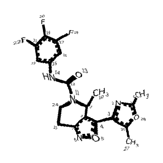 Cc1nc(-c2onc3c2C(C)N(C(=O)Nc2cc(F)c(F)c(F)c2)CC3)c(C)o1